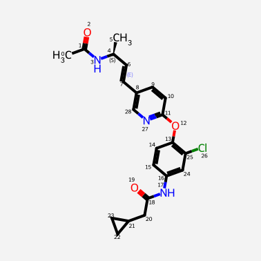 CC(=O)N[C@@H](C)/C=C/c1ccc(Oc2ccc(NC(=O)CC3CC3)cc2Cl)nc1